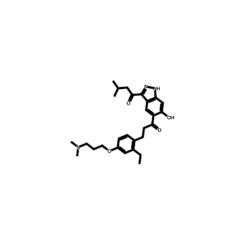 CCc1cc(OCCCN(C)C)ccc1CCC(=O)c1cc2c(C(=O)CC(C)C)n[nH]c2cc1O